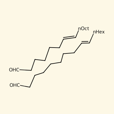 CCCCCCC=CCCCCCCCC=O.CCCCCCCCC=CCCCCCC=O